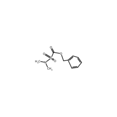 CN(C)S(=O)(=O)C(=O)OCc1ccccc1